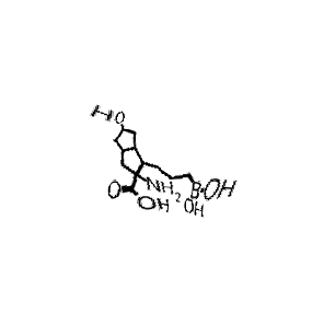 NC1(C(=O)O)CC2CC(O)CC2C1CCCB(O)O